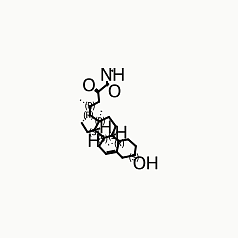 CNC(=O)C(=O)C[C@@H](C)[C@H]1CC[C@H]2[C@@H]3CC=C4C[C@@H](O)CC[C@]4(C)[C@H]3CC[C@]12C